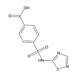 O=C(O)c1ccc(S(=O)(=O)Nc2ncns2)cc1